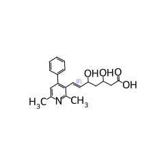 Cc1cc(-c2ccccc2)c(/C=C/C(O)CC(O)CC(=O)O)c(C)n1